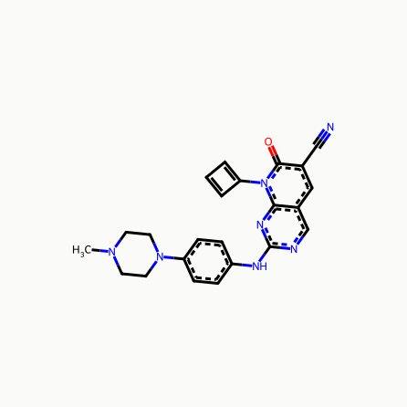 CN1CCN(c2ccc(Nc3ncc4cc(C#N)c(=O)n(C5=CC=C5)c4n3)cc2)CC1